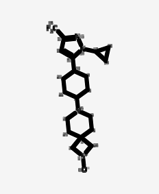 [O-][S+]1CC2(CCN(C3CCC(c4cc(C(F)(F)F)nn4C4CC4)CC3)CC2)C1